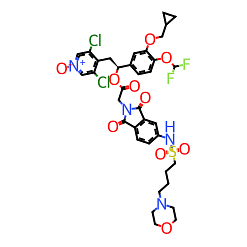 O=C(CN1C(=O)c2ccc(NS(=O)(=O)CCCCN3CCOCC3)cc2C1=O)O[C@@H](Cc1c(Cl)c[n+]([O-])cc1Cl)c1ccc(OC(F)F)c(OCC2CC2)c1